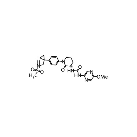 COc1cnc(NC(=O)N[C@H]2CCCN(c3ccc(C4(CNS(C)(=O)=O)CC4)cc3)C2=O)cn1